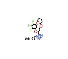 COCn1ncnc1C(CCOC1CCCCO1)Oc1ccc(F)c(F)c1F